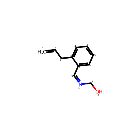 C=CCc1ccccc1/C=N\CO